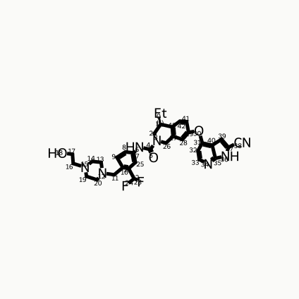 CC[C@@H]1CN(C(=O)Nc2ccc(CN3CCN(CCO)CC3)c(C(F)F)c2)Cc2cc(Oc3ccnc4[nH]c(C#N)cc34)ccc21